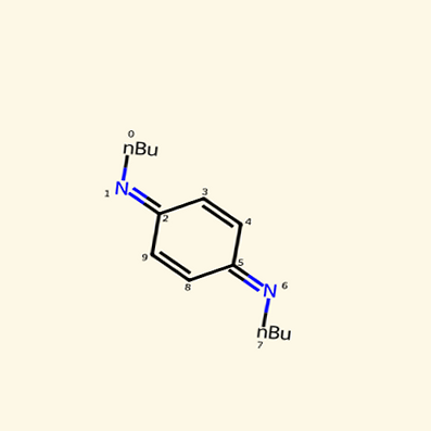 CCCCN=C1C=CC(=NCCCC)C=C1